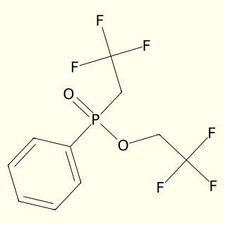 O=P(CC(F)(F)F)(OCC(F)(F)F)c1ccccc1